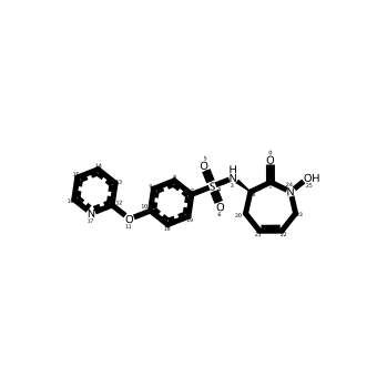 O=C1[C@H](NS(=O)(=O)c2ccc(Oc3ccccn3)cc2)CC=CCN1O